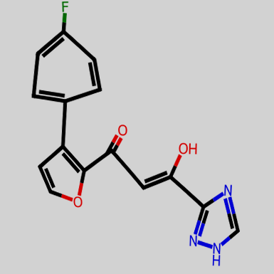 O=C(C=C(O)c1nc[nH]n1)c1occc1-c1ccc(F)cc1